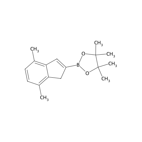 Cc1ccc(C)c2c1C=C(B1OC(C)(C)C(C)(C)O1)C2